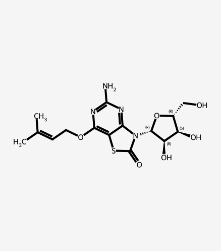 CC(C)=CCOc1nc(N)nc2c1sc(=O)n2[C@@H]1O[C@H](CO)[C@@H](O)[C@H]1O